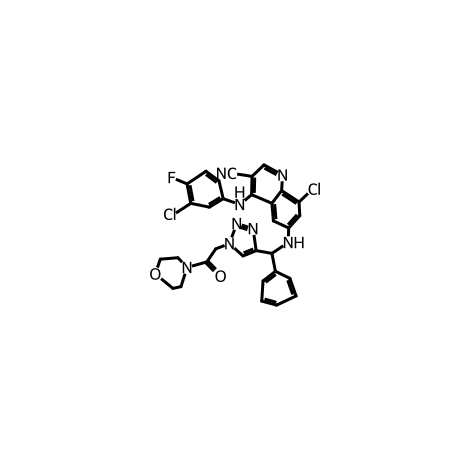 N#Cc1cnc2c(Cl)cc(NC(c3ccccc3)c3cn(CC(=O)N4CCOCC4)nn3)cc2c1Nc1ccc(F)c(Cl)c1